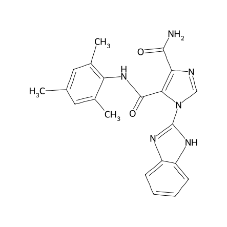 Cc1cc(C)c(NC(=O)c2c(C(N)=O)ncn2-c2nc3ccccc3[nH]2)c(C)c1